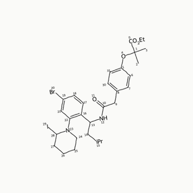 CCOC(=O)C(C)(C)Oc1ccc(CC(=O)NC(CC(C)C)c2ccc(Br)cc2N2CCCCC2I)cc1